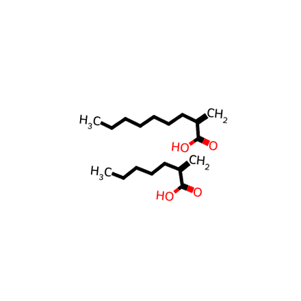 C=C(CCCCC)C(=O)O.C=C(CCCCCCC)C(=O)O